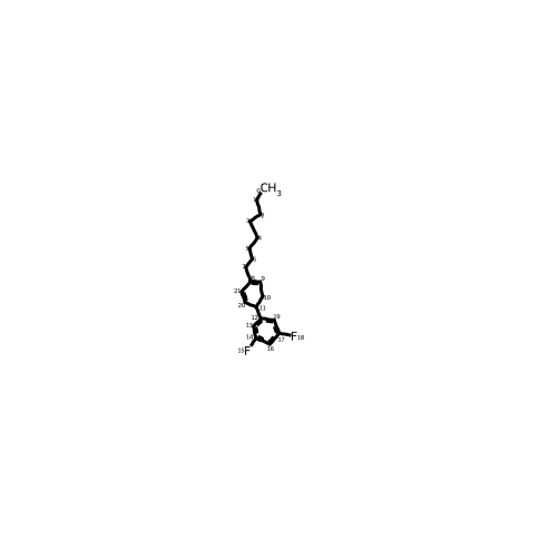 CCCCCCCCC1=CCC(c2cc(F)cc(F)c2)C=C1